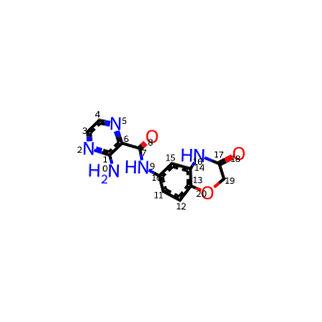 Nc1nccnc1C(=O)Nc1ccc2c(c1)NC(=O)CO2